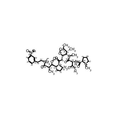 CC[C@H](C)[C@@H]([C@@H](CC(=O)N1CCC[C@H]1[C@H](OC)[C@@H](C)C(=O)N(C)CCc1cccc([N+](=O)[O-])c1)OC)N(C)C(=O)[C@@H](NC(=O)[C@H]1CCCN1C)C(C)C